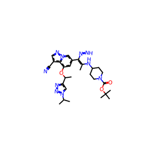 C/C(NC1CCN(C(=O)OC(C)(C)C)CC1)=C(/N=N)c1cc(OC(C)c2cn(C(C)C)nn2)c2c(C#N)cnn2c1